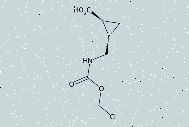 O=C(NC[C@@H]1C[C@@H]1C(=O)O)OCCl